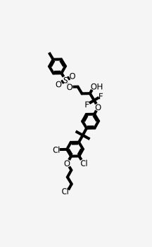 Cc1ccc(S(=O)(=O)OCCC(O)C(F)(F)Oc2ccc(C(C)(C)c3cc(Cl)c(OCCCCl)c(Cl)c3)cc2)cc1